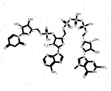 C[n+]1cn([C@@H]2O[C@H](COP(=O)(O)OP(=O)(O)OP(=O)(O)OC[C@H]3O[C@@H](n4cnc5c(N)ncnc54)[C@@H](C(F)(F)F)C3OP(=O)(O)OC[C@H]3O[C@@H](N4C=CC(=O)CC4=O)[C@@H](O)C3O)[C@H](O)C2O)c2nc(N)[nH]c(=O)c21